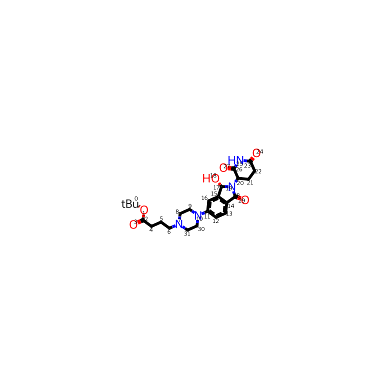 CC(C)(C)OC(=O)CCCN1CCN(c2ccc3c(c2)C(O)N(C2CCC(=O)NC2=O)C3=O)CC1